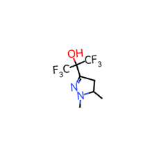 CC1CC(C(O)(C(F)(F)F)C(F)(F)F)=NN1C